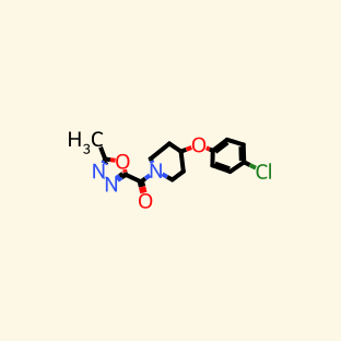 Cc1nnc(C(=O)N2CCC(Oc3ccc(Cl)cc3)CC2)o1